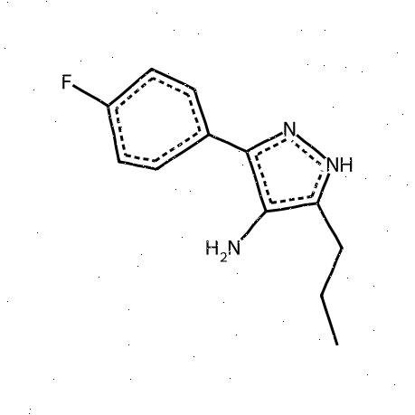 CCCc1[nH]nc(-c2ccc(F)cc2)c1N